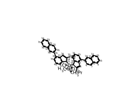 CCCC1=Cc2c(-c3ccc4ccccc4c3)cccc2[CH]1[Zr]([Cl])([Cl])([CH]1C(CCC)=Cc2c(-c3ccc4ccccc4c3)cccc21)=[Si](C)C